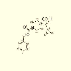 O=C(OCc1ccccc1)N1CCC(CC2CC2)(C(=O)O)CC1